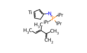 C=C(C)C(C)=CC.CC(C)P(=NC1=CC=CC1)(C(C)C)C(C)C.[Ti]